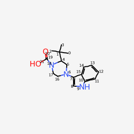 CC(C)(C)C1CN(c2c[nH]c3ccccc23)CCN1C(=O)O